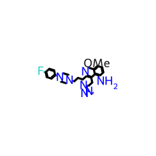 COc1nc(CCCN2CCN(c3ccc(F)cc3)CC2)c(Cc2ncnn2C)c2c(N)cccc12